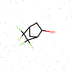 OC1CC2CC1C(F)(F)C2(F)F